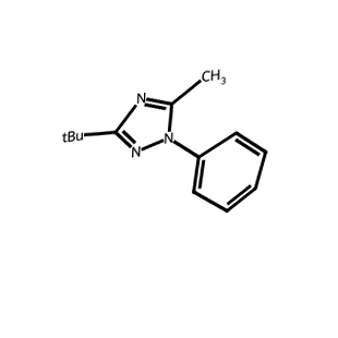 Cc1nc(C(C)(C)C)nn1-c1ccccc1